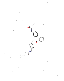 COC(=O)/C=C/c1ccc(CN(C(=O)C2CCCCC2)c2cccc(/C=C/C(=O)OC)c2)cc1